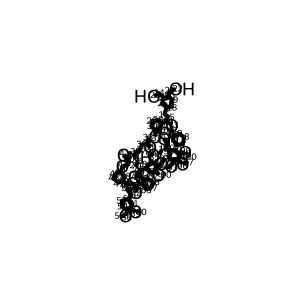 CC[C@H](C(=O)N1CCCC[C@H]1C(=O)O[C@H](CCc1ccc(CO)c(CO)c1)c1cccc(OCC(=O)CCCNC(=O)COc2cccc([C@@H](CCc3ccc(OC)c(OC)c3)OC(=O)[C@@H]3CCCCN3C(=O)[C@@H](CC)c3cc(OC)c(OC)c(OC)c3)c2)c1)c1cc(OC)c(OC)c(OC)c1